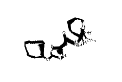 C[C@H]1[C@H](NC(=O)c2nnc(Oc3ccccc3)s2)C2CCN1CC2